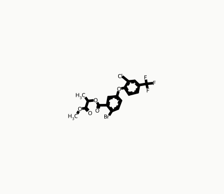 COC(=O)C(C)OC(=O)c1cc(Oc2ccc(C(F)(F)F)cc2Cl)ccc1Br